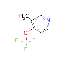 [CH2]c1cnccc1OC(F)(F)F